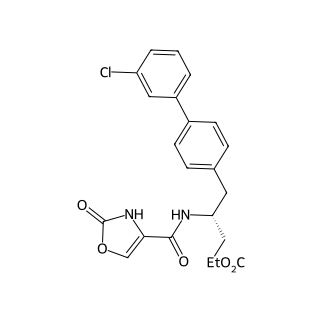 CCOC(=O)C[C@@H](Cc1ccc(-c2cccc(Cl)c2)cc1)NC(=O)c1coc(=O)[nH]1